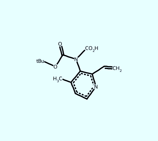 C=Cc1nccc(C)c1N(C(=O)O)C(=O)OC(C)(C)C